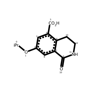 CC(C)Oc1cc(C(=O)O)c2c(c1)C(=O)NCC2